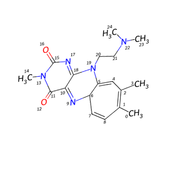 CC1=C(C)C=C2C(C=C1)N=C1C(=O)N(C)C(=O)N=C1N2CCN(C)C